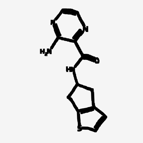 Nc1nccnc1C(=O)NC1Cc2ccsc2C1